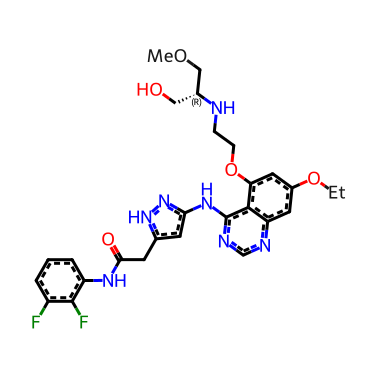 CCOc1cc(OCCN[C@H](CO)COC)c2c(Nc3cc(CC(=O)Nc4cccc(F)c4F)[nH]n3)ncnc2c1